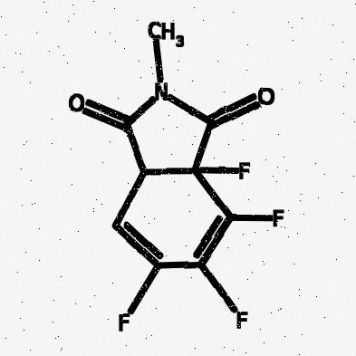 CN1C(=O)C2C=C(F)C(F)=C(F)C2(F)C1=O